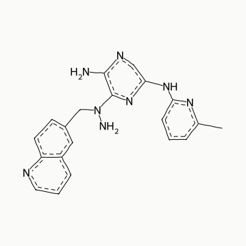 Cc1cccc(Nc2cnc(N)c(N(N)Cc3ccc4ncccc4c3)n2)n1